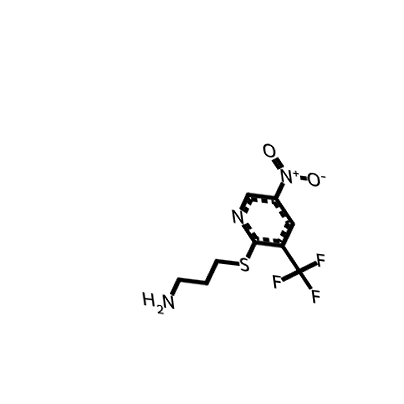 NCCCSc1ncc([N+](=O)[O-])cc1C(F)(F)F